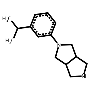 CC(C)c1cccc(N2CC3CNCC3C2)c1